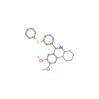 COc1cc2c(cc1OC)C1CCCCC1N=C2c1cccc(Sc2ccccc2)c1